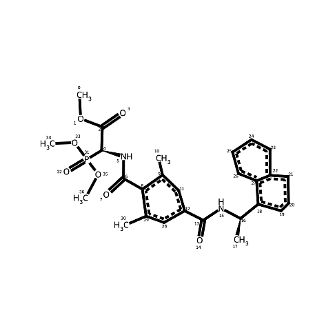 COC(=O)[C@@H](NC(=O)c1c(C)cc(C(=O)N[C@H](C)c2cccc3ccccc23)cc1C)P(=O)(OC)OC